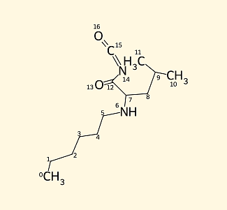 CCCCCCNC(CC(C)C)C(=O)N=C=O